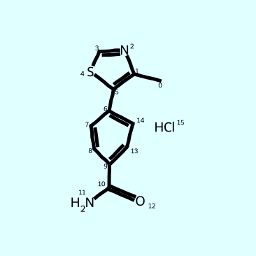 Cc1ncsc1-c1ccc(C(N)=O)cc1.Cl